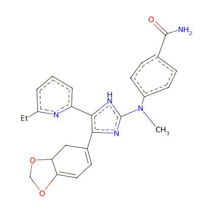 CCc1cccc(-c2[nH]c(N(C)c3ccc(C(N)=O)cc3)nc2C2=CC=C3OCOC3C2)n1